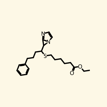 CCOC(=O)CCCCCSC(CCCc1ccccc1)C1c2nccn21